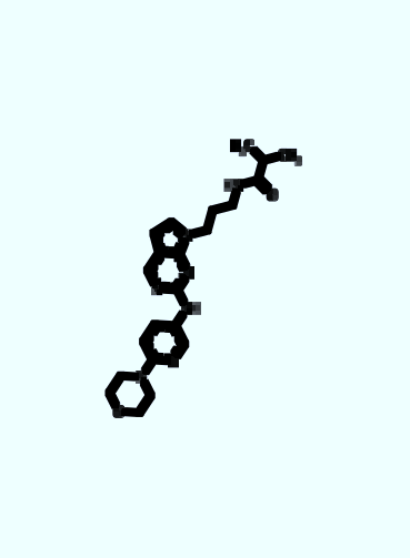 CC(C)C(=O)NCCCn1ccc2cnc(Nc3ccc(N4CCOCC4)nc3)nc21